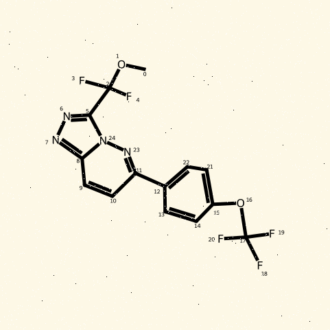 COC(F)(F)c1nnc2ccc(-c3ccc(OC(F)(F)F)cc3)nn12